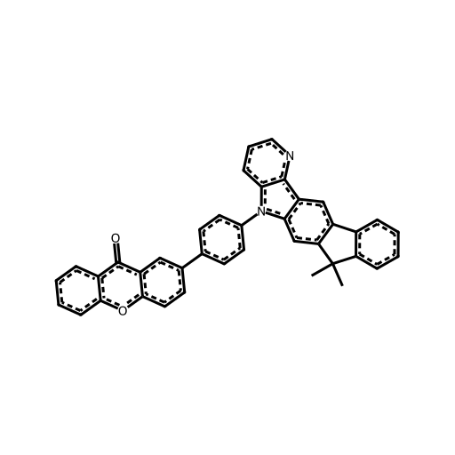 CC1(C)c2ccccc2-c2cc3c4ncccc4n(-c4ccc(-c5ccc6oc7ccccc7c(=O)c6c5)cc4)c3cc21